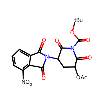 CC(=O)OC1CC(N2C(=O)c3cccc([N+](=O)[O-])c3C2=O)C(=O)N(C(=O)OC(C)(C)C)C1=O